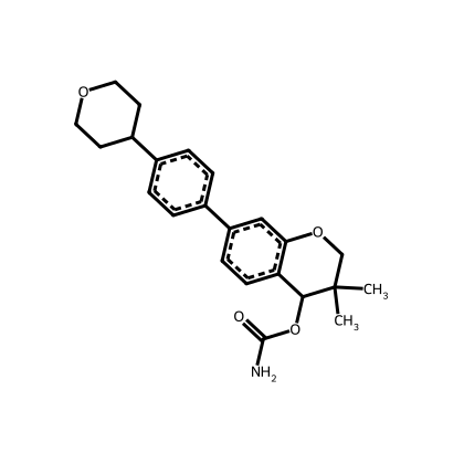 CC1(C)COc2cc(-c3ccc(C4CCOCC4)cc3)ccc2C1OC(N)=O